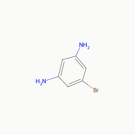 Nc1cc(N)cc(Br)c1